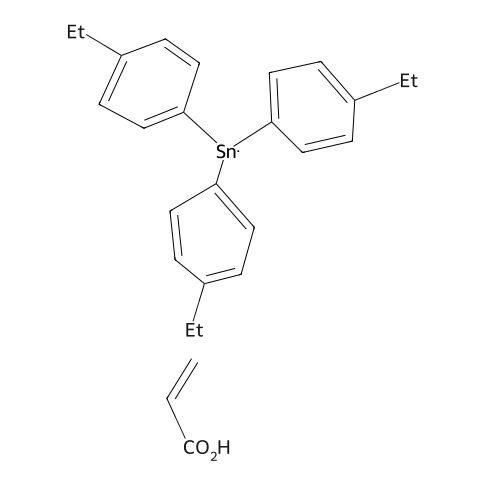 C=CC(=O)O.CCc1cc[c]([Sn]([c]2ccc(CC)cc2)[c]2ccc(CC)cc2)cc1